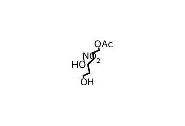 CC(=O)OCCCCCCO.O=[N+]([O-])O